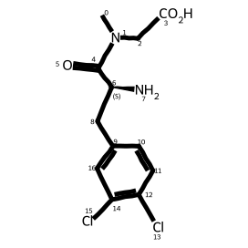 CN(CC(=O)O)C(=O)[C@@H](N)Cc1ccc(Cl)c(Cl)c1